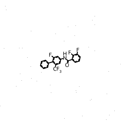 O=C(Nc1cc(F)c(-c2ccccc2)c(C(F)(F)F)c1)c1cccc(F)c1F